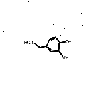 CC(C)c1cc(CC(=O)O)ccc1O